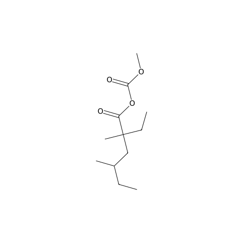 CCC(C)CC(C)(CC)C(=O)OC(=O)OC